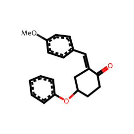 COc1ccc(C=C2CC(Oc3ccccc3)CCC2=O)cc1